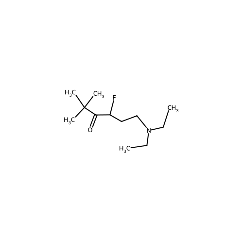 CCN(CC)CCC(F)C(=O)C(C)(C)C